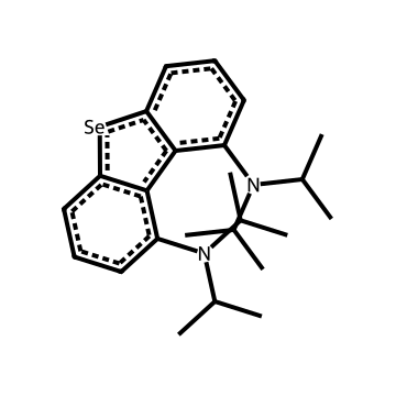 CC(C)N(c1cccc2[se]c3cccc(N(C(C)C)C(C)C)c3c12)C(C)C